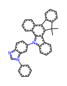 CC1(C)c2ccccc2-c2c1c1c3ccccc3n(-c3ccc4ncn(-c5ccccc5)c4c3)c1c1ccccc21